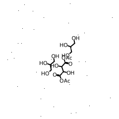 CC(=O)OC(=O)C(O)C(O)C(=O)OC(C)=O.OCC(O)CO.OCC(O)CO